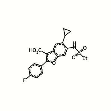 CCS(=O)(=O)Nc1cc2oc(-c3ccc(F)cc3)c(C(=O)O)c2cc1C1CC1